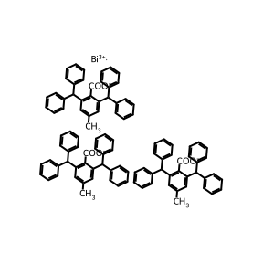 Cc1cc(C(c2ccccc2)c2ccccc2)c(C(=O)[O-])c(C(c2ccccc2)c2ccccc2)c1.Cc1cc(C(c2ccccc2)c2ccccc2)c(C(=O)[O-])c(C(c2ccccc2)c2ccccc2)c1.Cc1cc(C(c2ccccc2)c2ccccc2)c(C(=O)[O-])c(C(c2ccccc2)c2ccccc2)c1.[Bi+3]